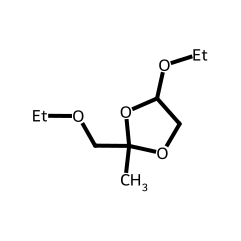 CCOCC1(C)OCC(OCC)O1